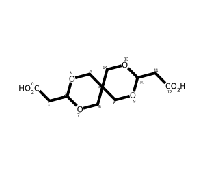 O=C(O)CC1OCC2(CO1)COC(CC(=O)O)OC2